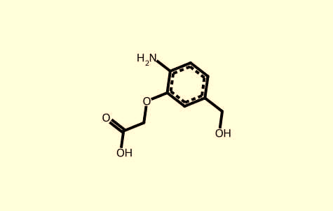 Nc1ccc(CO)cc1OCC(=O)O